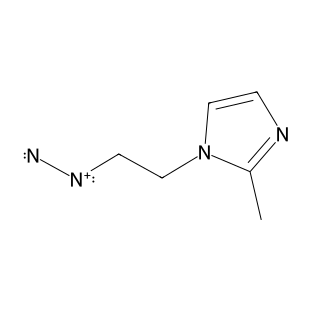 Cc1nccn1CC[N+][N]